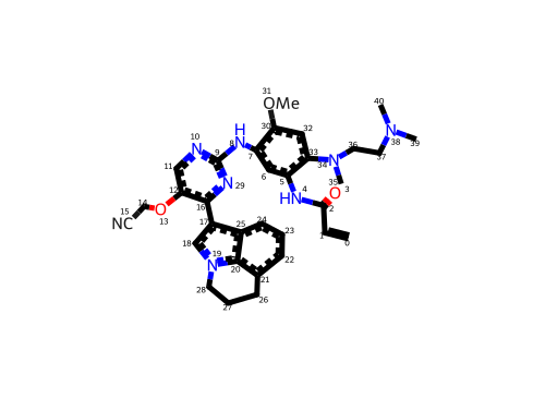 C=CC(=O)Nc1cc(Nc2ncc(OCC#N)c(-c3cn4c5c(cccc35)CCC4)n2)c(OC)cc1N(C)CCN(C)C